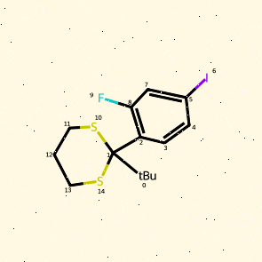 CC(C)(C)C1(c2ccc(I)cc2F)SCCCS1